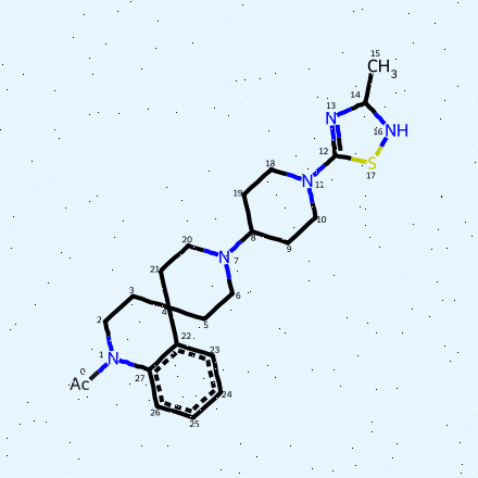 CC(=O)N1CCC2(CCN(C3CCN(C4=NC(C)NS4)CC3)CC2)c2ccccc21